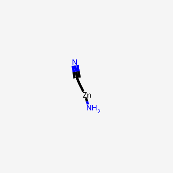 N#[C][Zn][NH2]